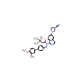 COc1ccc(-c2ccc(CN(C(=O)CC(C)(C)C)c3nccc4cc(N5CCC(C#N)C5)ccc34)cc2)cc1C